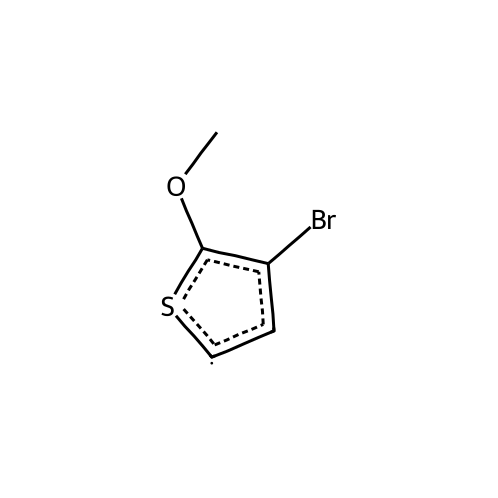 COc1s[c]cc1Br